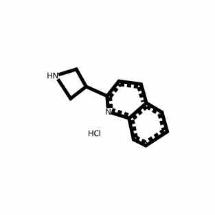 Cl.c1ccc2nc(C3CNC3)ccc2c1